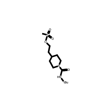 CC(C)(C)NC(=O)N1CCC(CCOS(C)(=O)=O)CC1